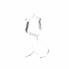 CCc1ccc(N2CCOCC(O)C2)cn1